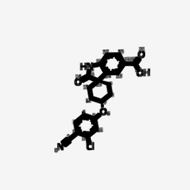 N#Cc1ccc(O[C@H]2CC[C@@]3(CC2)C(=O)Nc2ccc(C(=O)O)cc23)cc1Cl